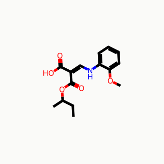 CCC(C)OC(=O)C(=CNc1ccccc1OC)C(=O)O